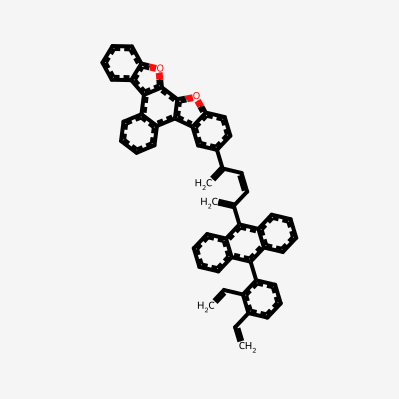 C=Cc1cccc(-c2c3ccccc3c(C(=C)/C=C\C(=C)c3ccc4oc5c6oc7ccccc7c6c6ccccc6c5c4c3)c3ccccc23)c1C=C